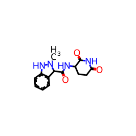 CN1Nc2ccccc2C1C(=O)NC1CCC(=O)NC1=O